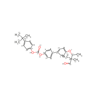 CC(Oc1ccc(-c2ccc(OC(=O)Oc3ccc(C(C)(C)C)cc3)cc2)cc1)C(C)(C)C=O